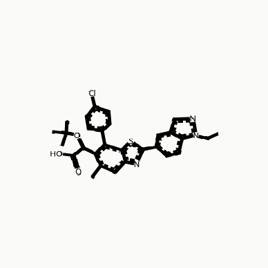 CCn1ncc2cc(-c3nc4cc(C)c(C(OC(C)(C)C)C(=O)O)c(-c5ccc(Cl)cc5)c4s3)ccc21